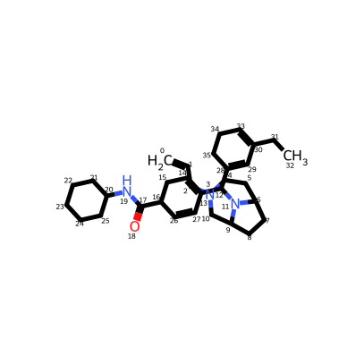 C=CCN1CCC2CCC(C1)N2C(C1=CCC(C(=O)NC2CCCCC2)C=C1)C1=CC(CC)=CCC1